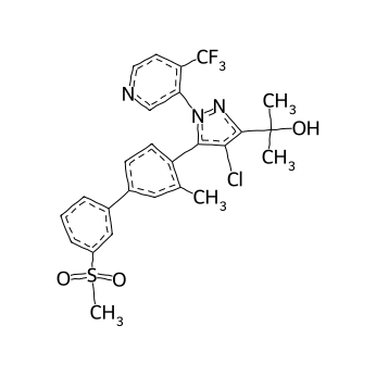 Cc1cc(-c2cccc(S(C)(=O)=O)c2)ccc1-c1c(Cl)c(C(C)(C)O)nn1-c1cnccc1C(F)(F)F